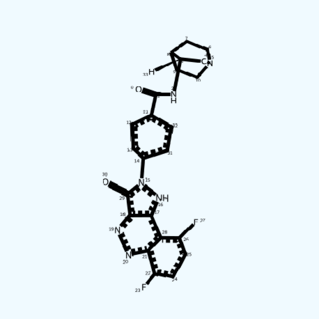 O=C(N[C@H]1CN2CCC1CC2)c1ccc(-n2[nH]c3c(nnc4c(F)ccc(F)c43)c2=O)cc1